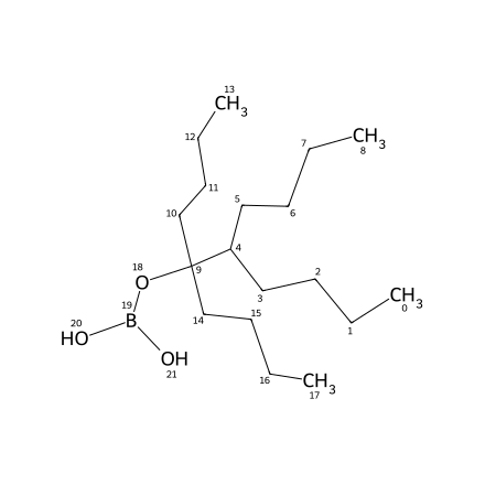 CCCCC(CCCC)C(CCCC)(CCCC)OB(O)O